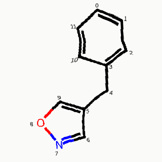 c1ccc(Cc2cnoc2)cc1